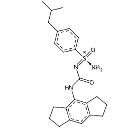 CC(C)Cc1ccc([S@](N)(=O)=NC(=O)Nc2c3c(cc4c2CCC4)CCC3)cc1